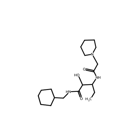 CCC(NC(=O)CN1CCCCC1)C(O)C(=O)NCC1CCCCC1